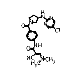 CN(C)C=C(C#N)C(=O)Nc1ccc(C(=O)N2CC[C@@H](Nc3ncc(Cl)cn3)C2)cc1